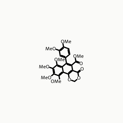 COC(=O)c1c2c(c3c(OC)c(OC)c(OC)c(OC)c3c1-c1ccc(OC)c(OC)c1)OCOC2=O